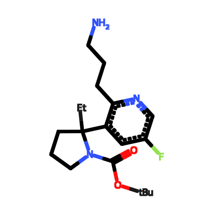 CCC1(c2cc(F)cnc2CCCN)CCCN1C(=O)OC(C)(C)C